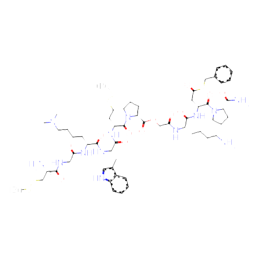 CN(C)CCCC[C@H](NC(=O)CNC(=O)[C@@H](N)CSSC(C)(C)C)C(=O)N[C@@H](Cc1c[nH]c2ccccc12)C(=O)N[C@@H](CCSSC(C)(C)C)C(=O)N1CCC[C@H]1C(=O)OCC(=O)N[C@@H](CCCCN)C(=O)N[C@@H](CC(=O)SCc1ccccc1)C(=O)N1CCC[C@H]1C(N)=O